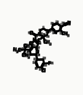 Cc1nc(N2CCN(C(=O)c3cc4nc(-c5ccc(Cl)c(F)c5)cc(C(C)(C)C)c4o3)C(C)(C)C2)ccc1C#N